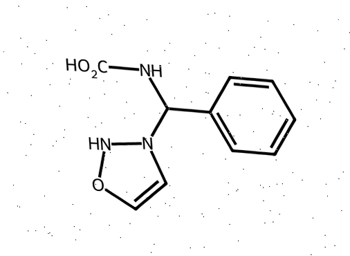 O=C(O)NC(c1ccccc1)N1C=CON1